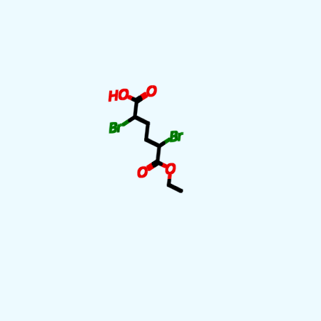 CCOC(=O)C(Br)CCC(Br)C(=O)O